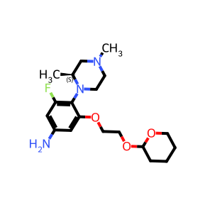 C[C@H]1CN(C)CCN1c1c(F)cc(N)cc1OCCOC1CCCCO1